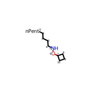 CCCCCCCCCNOC1CCC1